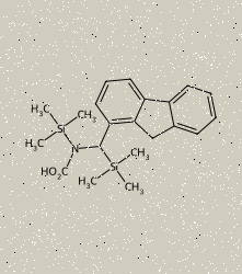 C[Si](C)(C)C(c1cccc2c1Cc1ccccc1-2)N(C(=O)O)[Si](C)(C)C